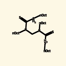 CCCCCCCC[SH2]C(=S)N(CCCCCCCC)CN(CCCCCCCC)C(=S)[SH2]CCCCCCCC